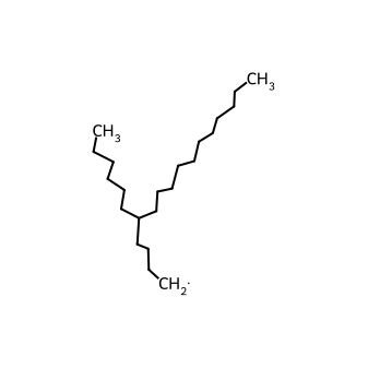 [CH2]CCCC(CCCCCC)CCCCCCCCCCC